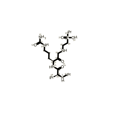 CC(C)N[C@H](C(=O)N[C@@H](CCCNC(N)=O)C(=O)CNCCP(=O)(O)C(C)C)C(C)C